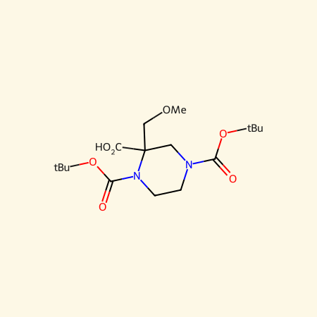 COCC1(C(=O)O)CN(C(=O)OC(C)(C)C)CCN1C(=O)OC(C)(C)C